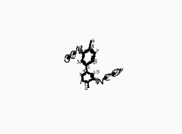 Cc1ccc(-c2ccc(C)c(N=C=O)c2)cc1N=C=O